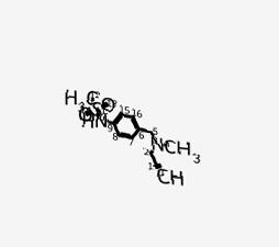 C#CCN(C)Cc1ccc(NS(C)(=O)=O)cc1